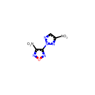 O=[N+]([O-])c1cnn(-c2nonc2[N+](=O)[O-])n1